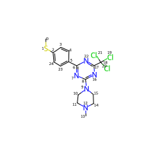 CSc1ccc(-c2nc(N3CCN(C)CC3)nc(C(Cl)(Cl)Cl)n2)cc1